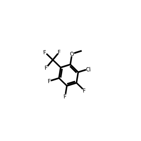 COc1c(Cl)c(F)c(F)c(F)c1C(F)(F)F